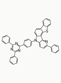 c1ccc(-c2ccc3c(n2)c2c4sc5ccccc5c4ccc2n3-c2ccc(-c3nc(-c4ccccc4)nc(-c4ccccc4)n3)cc2)cc1